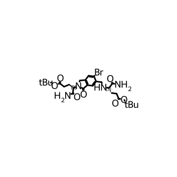 CC(C)(C)OC(=O)CC[C@H](NCc1cc2c(cc1Br)CN([C@H](CCC(=O)OC(C)(C)C)C(N)=O)C2=O)C(N)=O